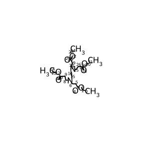 CCOC(=O)CCN(CCC(=O)OCC)CCN(CCC(=O)OCC)CCC(=O)OCC